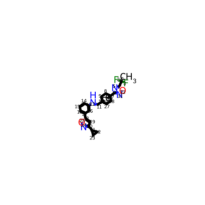 CC(F)(F)c1nc(C23CCC(CNc4cccc(-c5cc(C6CC6)no5)c4)(CC2)CC3)no1